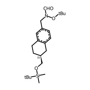 CC(C)(C)ON(C=O)Cc1ccc2c(c1)CC[C@H](CO[Si](C)(C)C(C)(C)C)C2